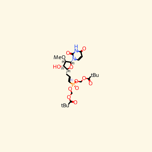 CO[C@@H]1[C@@H](O)[C@@H](C/C=C/P(=O)(OCOC(=O)C(C)(C)C)OCOC(=O)C(C)(C)C)O[C@H]1n1ccc(=O)[nH]c1=O